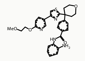 COCCOc1ccc(-c2csc(C3(c4ccc(C(=O)Nc5ccccc5N)cc4)CCOCC3)n2)cn1